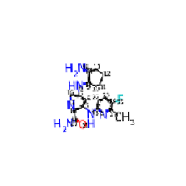 Cc1nc(Nc2cc(N[C@@H]3CCCC[C@@H]3N)cnc2C(N)=O)ccc1F